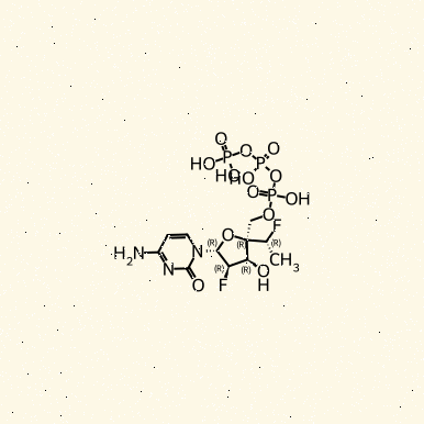 C[C@@H](F)[C@]1(COP(=O)(O)OP(=O)(O)OP(=O)(O)O)O[C@@H](n2ccc(N)nc2=O)[C@H](F)[C@@H]1O